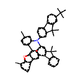 Cc1ccc(-c2cccc3c2oc2c(C)cccc23)c(N(c2ccc3c(c2)C(C)(C)c2ccccc2-3)c2ccc3c(c2)C(C)(C)c2cc(C(C)(C)C)ccc2-3)c1